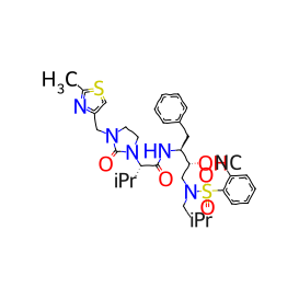 Cc1nc(CN2CCN([C@H](C(=O)N[C@@H](Cc3ccccc3)[C@H](O)CN(CC(C)C)S(=O)(=O)c3ccccc3C#N)C(C)C)C2=O)cs1